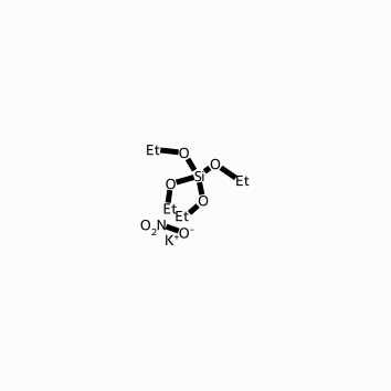 CCO[Si](OCC)(OCC)OCC.O=[N+]([O-])[O-].[K+]